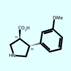 COc1cccc([C@@H]2CNC[C@H]2C(=O)O)c1